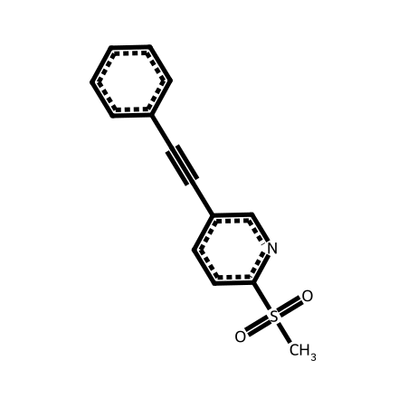 CS(=O)(=O)c1ccc(C#Cc2ccccc2)cn1